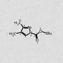 Cc1cn(C(=O)OC(C)(C)C)nc1C